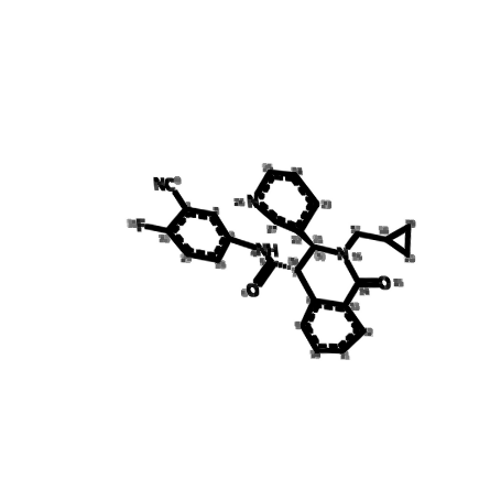 N#Cc1cc(NC(=O)[C@H]2c3ccccc3C(=O)N(CC3CC3)[C@@H]2c2cccnc2)ccc1F